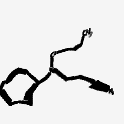 CCON(CCC#N)c1ccccc1